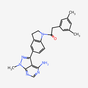 Cc1cc(C)cc(CC(=O)N2CCc3cc(-c4nn(C)c5ncnc(N)c45)ccc32)c1